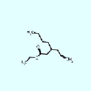 C=CCC(CCCC)CC(=O)OCC